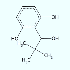 CC(C)(C)C(O)c1c(O)cccc1O